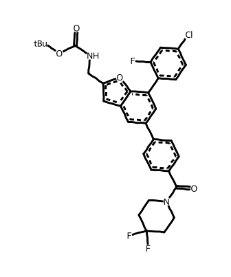 CC(C)(C)OC(=O)NCc1cc2cc(-c3ccc(C(=O)N4CCC(F)(F)CC4)cc3)cc(-c3ccc(Cl)cc3F)c2o1